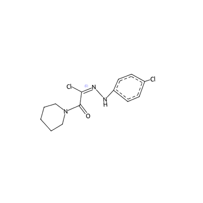 O=C(/C(Cl)=N\Nc1ccc(Cl)cc1)N1CCCCC1